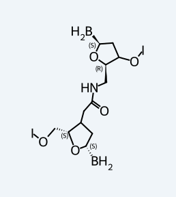 B[C@H]1CC(CC(=O)NC[C@H]2O[C@@H](B)CC2OI)[C@@H](COI)O1